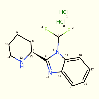 Cl.Cl.FC(F)n1c([C@@H]2CCCCN2)nc2ccccc21